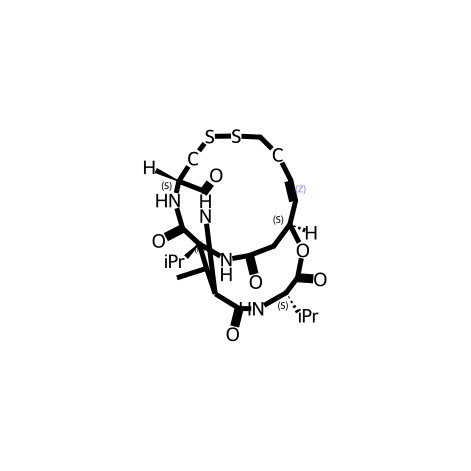 CC(C)[C@@H]1NC(=O)C2NC(=O)[C@H]3CSSCC/C=C\[C@H](CC(=O)N[C@@](C(C)C)(C(=O)N3)C2C)OC1=O